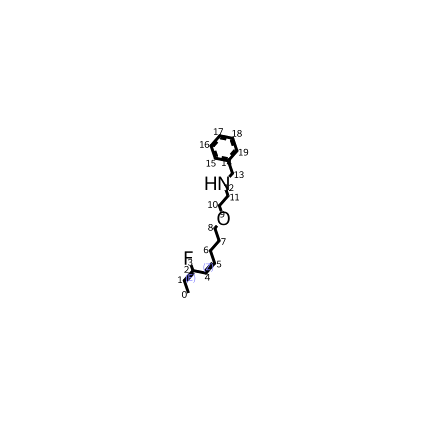 C/C=C(F)\C=C/CCCOCCNCc1ccccc1